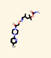 CC(/C=N/OCC(=O)N1CCN(c2ccc(C#N)cn2)CC1)CC(C)(C)OC(N)=O